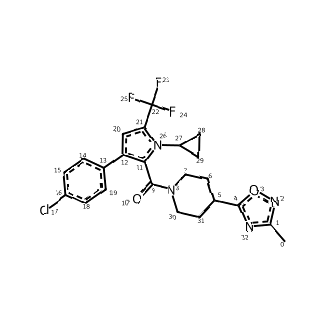 Cc1noc(C2CCN(C(=O)c3c(-c4ccc(Cl)cc4)cc(C(F)(F)F)n3C3CC3)CC2)n1